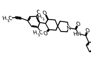 CC#Cc1cc(C)c(C2C(=O)CC3(CCN(C(=O)NC(=O)c4ccccc4)CC3)CC2=O)c(C)c1